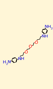 Nc1ccc(NCCCOCCOCCOCCCNc2ccc(N)cc2)cc1